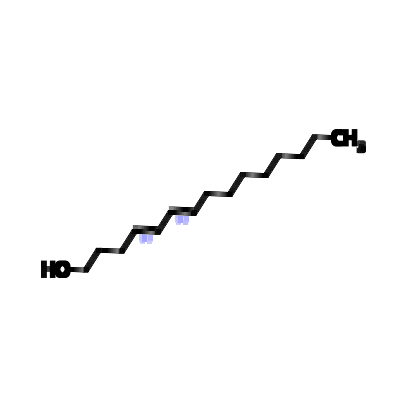 CCCCCCCC/C=C/C=C/CCCO